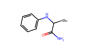 CC(C)(C)C(Nc1ccccc1)C(N)=O